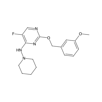 COc1cccc(COc2ncc(F)c(NN3CCCCC3)n2)c1